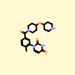 Cc1ccc(C(=O)N2CCC(OC3CCNCC3)CC2)cc1-n1ccc(=O)[nH]c1=O